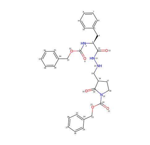 O=C(N[C@@H](Cc1ccccc1)C(=O)NNCC1CCN(C(=O)OCc2ccccc2)C1=O)OCc1ccccc1